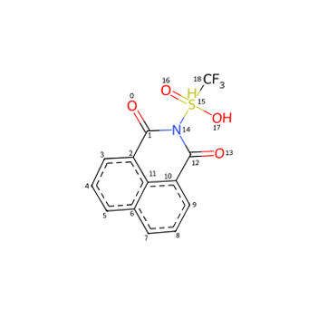 O=C1c2cccc3cccc(c23)C(=O)N1[SH](=O)(O)C(F)(F)F